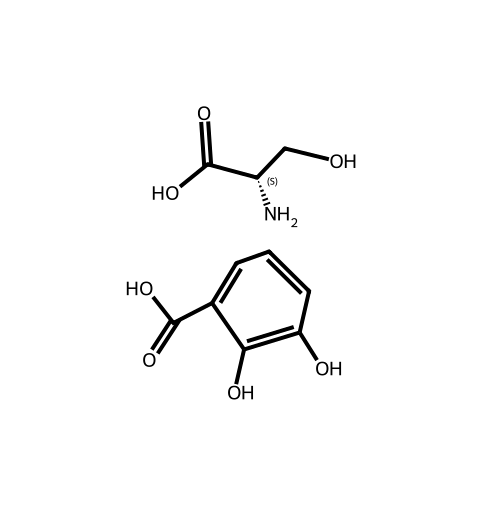 N[C@@H](CO)C(=O)O.O=C(O)c1cccc(O)c1O